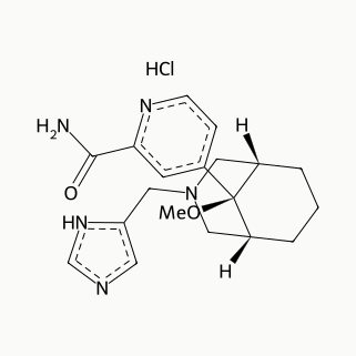 CO[C@]1(c2ccnc(C(N)=O)c2)[C@@H]2CCC[C@H]1CN(Cc1cnc[nH]1)C2.Cl